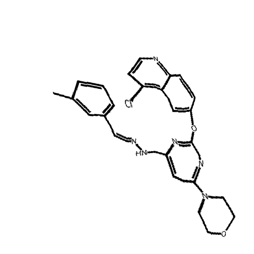 Cc1cccc(/C=N/Nc2cc(N3CCOCC3)nc(Oc3ccc4nccc(Cl)c4c3)n2)c1